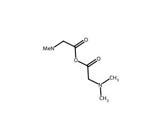 CNCC(=O)OC(=O)CN(C)C